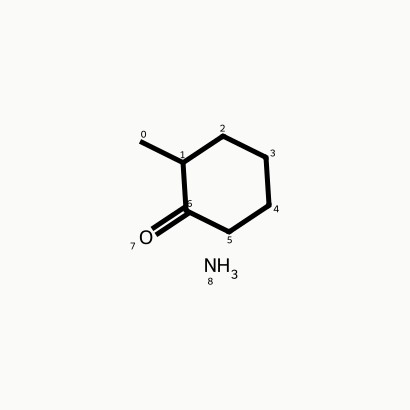 CC1CCCCC1=O.N